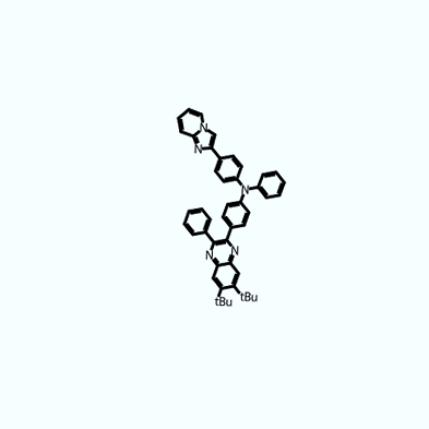 CC(C)(C)c1cc2nc(-c3ccccc3)c(-c3ccc(N(c4ccccc4)c4ccc(-c5cn6ccccc6n5)cc4)cc3)nc2cc1C(C)(C)C